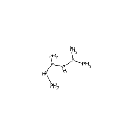 PPP(P)PP(P)P